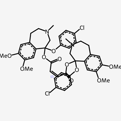 COc1cc2c(cc1OC)C(OC(=O)/C=C\C(=O)OC1(Oc3ccc(Cl)cc3)CN(C)CCc3cc(OC)c(OC)cc31)(Oc1ccc(Cl)cc1)CN(C)CC2